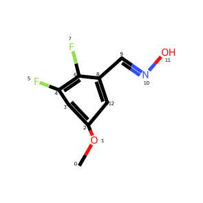 COc1cc(F)c(F)c(C=NO)c1